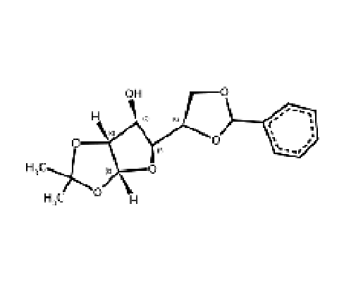 CC1(C)O[C@H]2O[C@H]([C@H]3COC(c4ccccc4)O3)[C@H](O)[C@H]2O1